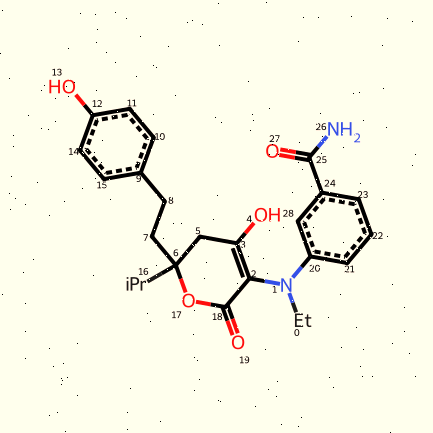 CCN(C1=C(O)CC(CCc2ccc(O)cc2)(C(C)C)OC1=O)c1cccc(C(N)=O)c1